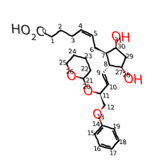 O=C(O)CCC/C=C\C[C@@H]1[C@@H](/C=C/[C@@H](COc2ccccc2)OC2CCCCO2)[C@H](O)C[C@@H]1O